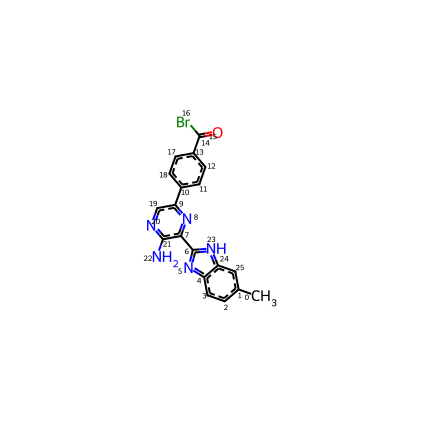 Cc1ccc2nc(-c3nc(-c4ccc(C(=O)Br)cc4)cnc3N)[nH]c2c1